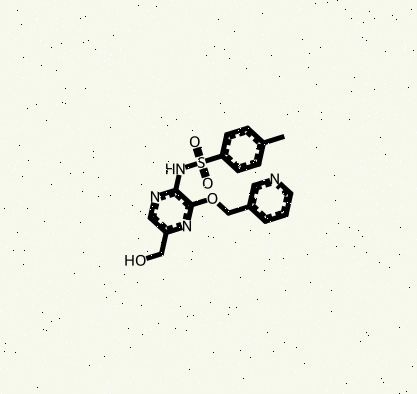 Cc1ccc(S(=O)(=O)Nc2ncc(CO)nc2OCc2cccnc2)cc1